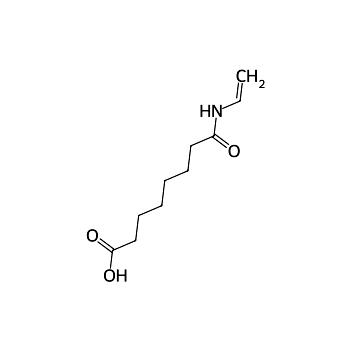 C=CNC(=O)CCCCCCC(=O)O